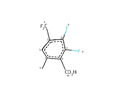 Cc1cc(C(F)(F)F)c(F)c(F)c1C(=O)O